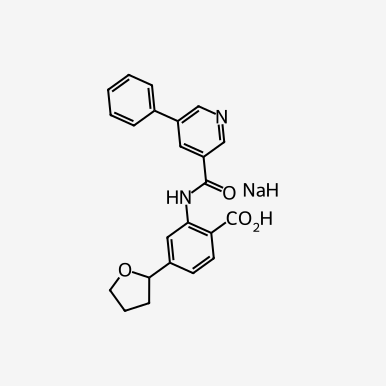 O=C(Nc1cc(C2CCCO2)ccc1C(=O)O)c1cncc(-c2ccccc2)c1.[NaH]